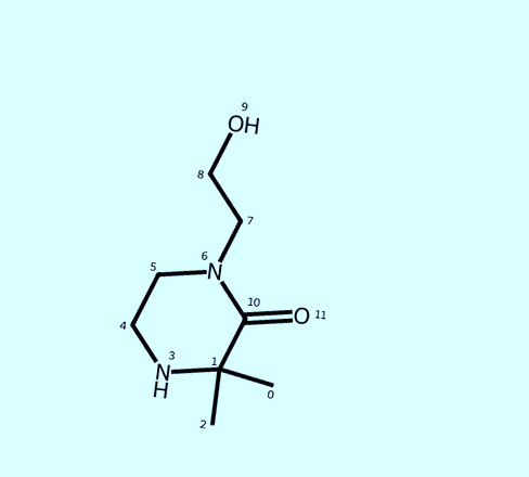 CC1(C)NCCN(CCO)C1=O